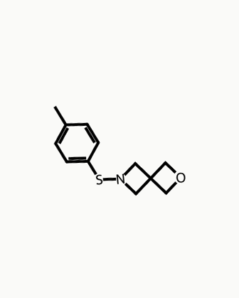 Cc1ccc(SN2CC3(COC3)C2)cc1